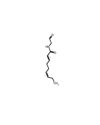 CC/C=C\CC/C=C/C(=O)NCC=O